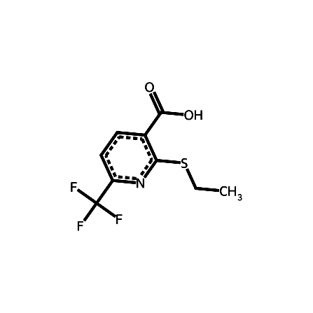 CCSc1nc(C(F)(F)F)ccc1C(=O)O